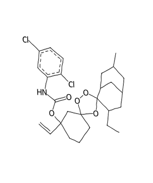 C=CC1(OC(=O)Nc2cc(Cl)ccc2Cl)CCCC2(C1)OOC1(O2)C(CC)CC2CC(C)CC1C2